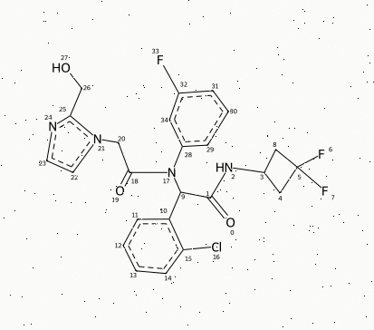 O=C(NC1CC(F)(F)C1)C(c1ccccc1Cl)N(C(=O)Cn1ccnc1CO)c1cccc(F)c1